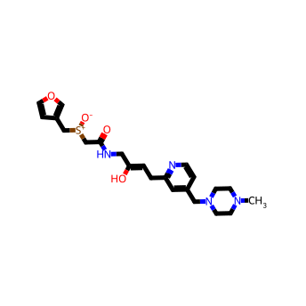 CN1CCN(Cc2ccnc(CC=C(O)CNC(=O)C[S+]([O-])Cc3ccoc3)c2)CC1